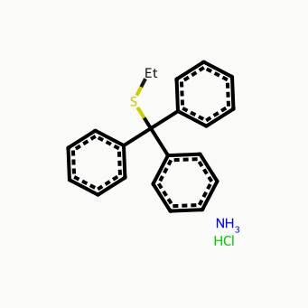 CCSC(c1ccccc1)(c1ccccc1)c1ccccc1.Cl.N